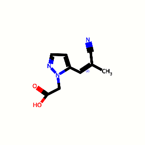 C/C(C#N)=C/c1ccnn1CC(=O)O